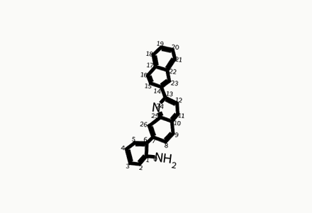 Nc1ccccc1-c1ccc2ccc(-c3ccc4ccccc4c3)nc2c1